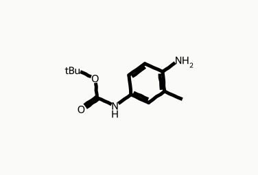 Cc1cc(NC(=O)OC(C)(C)C)ccc1N